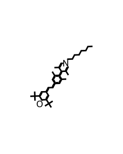 CCCCCCCCN1C=C(C)C(=c2c(C)cc(=CC=C3C=C(C(C)(C)C)C(=O)C(C(C)(C)C)=C3)cc2C)C(C)=C1